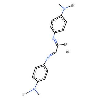 CCC(C=Nc1ccc(N(C)CC)cc1)=Nc1ccc(N(C)CC)cc1.[Ni]